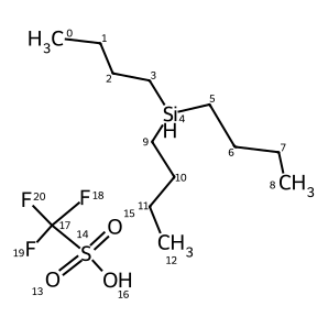 CCCC[SiH](CCCC)CCCC.O=S(=O)(O)C(F)(F)F